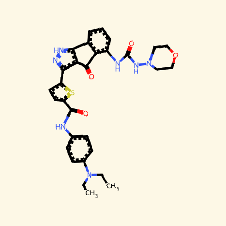 CCN(CC)c1ccc(NC(=O)c2ccc(-c3n[nH]c4c3C(=O)c3c(NC(=O)NN5CCOCC5)cccc3-4)s2)cc1